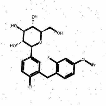 CC(C)Oc1ccc(Cc2cc([C@@H]3O[C@H](CO)[C@@H](O)[C@H](O)[C@H]3O)ccc2Cl)c(F)c1